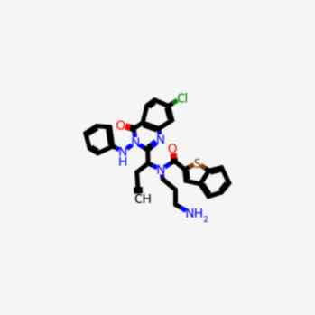 C#CCC(c1nc2cc(Cl)ccc2c(=O)n1Nc1ccccc1)N(CCCN)C(=O)c1cc2ccccc2s1